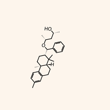 Cc1ccc2c(c1)CC[C@H]1C(C)(C)[C@@H](C(O[C@H](C)C[C@@H](C)O)c3ccccc3)CC[C@]21C